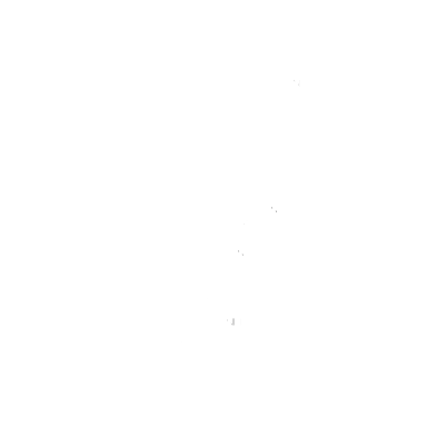 N#Cc1ccc(NC(=O)Nc2cccc3c(C=O)c[nH]c23)cc1